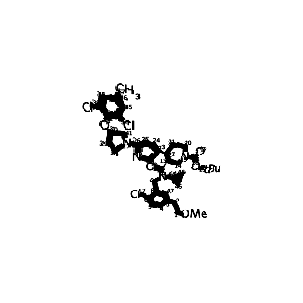 COCCc1ccc(Cl)c(CN(C(=O)[C@H]2CN(C(=O)OC(C)(C)C)CC[C@@H]2c2ccc(N3CC[C@@H](Oc4c(Cl)cc(C)cc4Cl)C3)nc2)C2CC2)c1